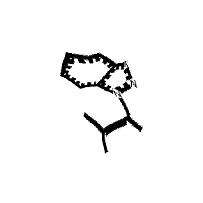 CC(C)=C(C)n1nnc2ccccc21